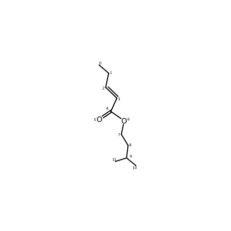 CCC=CC(=O)OCCC(C)C